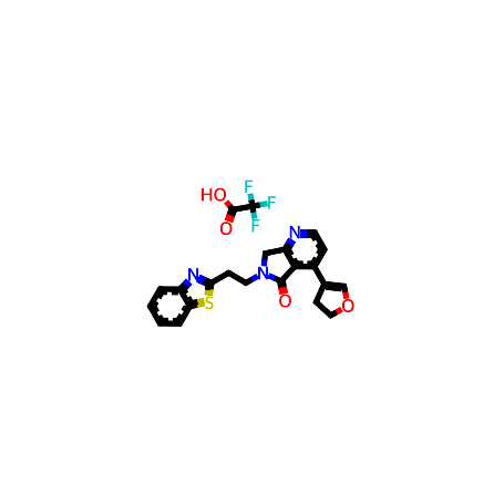 O=C(O)C(F)(F)F.O=C1c2c(C3=COCC3)ccnc2CN1CCc1nc2ccccc2s1